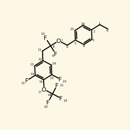 CCc1ccc(COC(F)(F)Cc2cc(F)c(OC(F)(F)F)c(F)c2)cc1